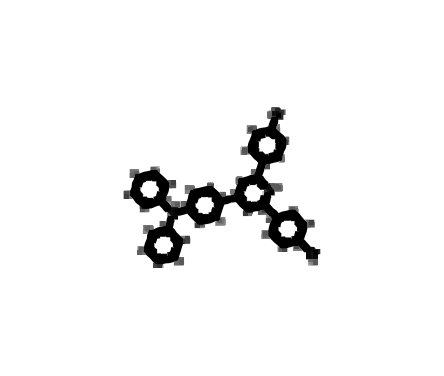 Brc1ccc(-c2cc(-c3ccc(N(c4ccccc4)c4ccccc4)cc3)cc(-c3ccc(Br)cc3)n2)cc1